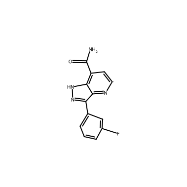 NC(=O)c1c[c]nc2c(-c3cccc(F)c3)n[nH]c12